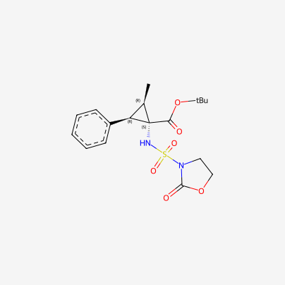 C[C@@H]1[C@H](c2ccccc2)[C@]1(NS(=O)(=O)N1CCOC1=O)C(=O)OC(C)(C)C